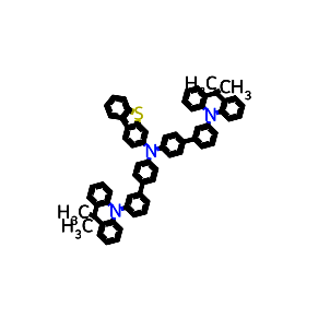 CC1(C)c2ccccc2N(c2cccc(-c3ccc(N(c4ccc(-c5cccc(N6c7ccccc7C(C)(C)c7ccccc76)c5)cc4)c4ccc5c(c4)sc4ccccc45)cc3)c2)c2ccccc21